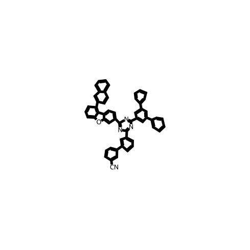 N#Cc1cccc(-c2cccc(-c3nc(-c4cc(-c5ccccc5)cc(-c5ccccc5)c4)nc(-c4ccc5c(c4)oc4cccc(-c6ccc7ccccc7c6)c45)n3)c2)c1